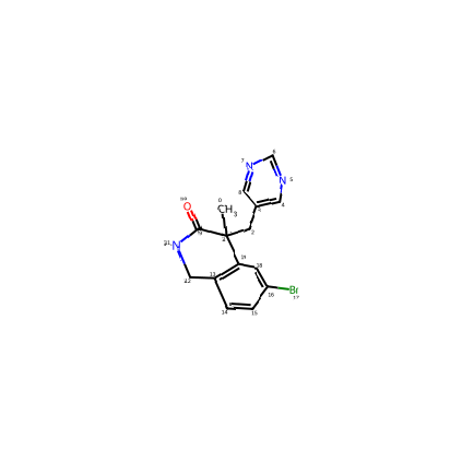 CC1(Cc2cncnc2)C(=O)[N]Cc2ccc(Br)cc21